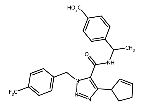 CC(NC(=O)c1c(C2C=CCC2)nnn1Cc1ccc(C(F)(F)F)cc1)c1ccc(C(=O)O)cc1